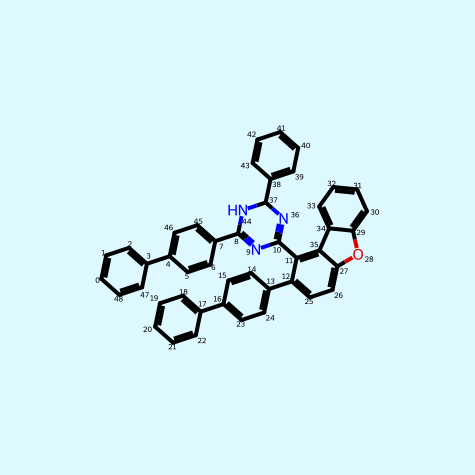 c1ccc(-c2ccc(C3=NC(c4c(-c5ccc(-c6ccccc6)cc5)ccc5oc6ccccc6c45)=NC(c4ccccc4)N3)cc2)cc1